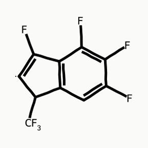 FC1=[C]C(C(F)(F)F)c2cc(F)c(F)c(F)c21